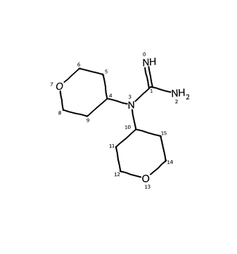 N=C(N)N(C1CCOCC1)C1CCOCC1